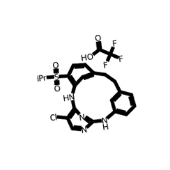 CC(C)S(=O)(=O)c1ccc2cc1Nc1nc(ncc1Cl)Nc1cccc(c1)CC2.O=C(O)C(F)(F)F